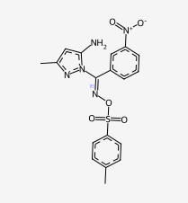 Cc1ccc(S(=O)(=O)O/N=C(\c2cccc([N+](=O)[O-])c2)n2nc(C)cc2N)cc1